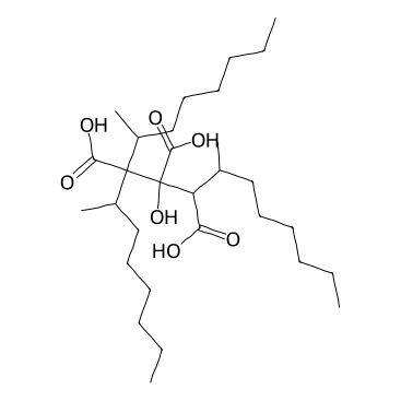 CCCCCCC(C)C(C(=O)O)C(O)(C(=O)O)C(C(=O)O)(C(C)CCCCCC)C(C)CCCCCC